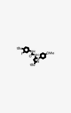 COc1ccc(-n2nc(C(C)(C)C)cc2NC(=O)Nc2ccc(C(C)(C)C)c(F)c2)cc1